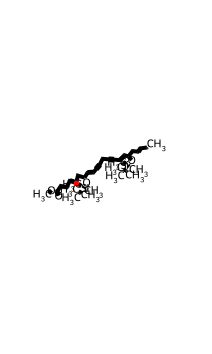 CCC=CCC(C=CC#CCC#CC=CC(CC=CCCC(=O)OC)O[Si](C)(C)C(C)(C)C)O[Si](C)(C)C(C)(C)C